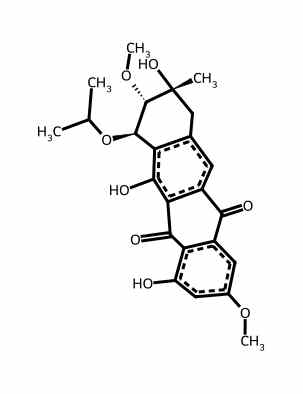 COc1cc(O)c2c(c1)C(=O)c1cc3c(c(O)c1C2=O)[C@@H](OC(C)C)[C@H](OC)[C@](C)(O)C3